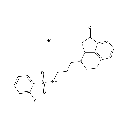 Cl.O=C1CC2c3c(cccc31)CCN2CCCNS(=O)(=O)c1ccccc1Cl